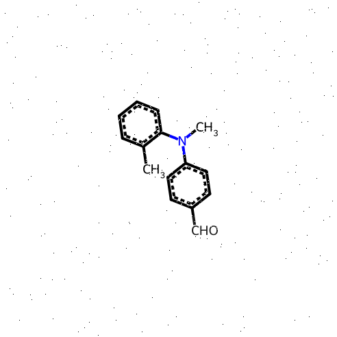 Cc1ccccc1N(C)c1ccc(C=O)cc1